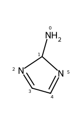 NC1N=CC=N1